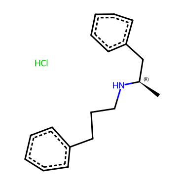 C[C@H](Cc1ccccc1)NCCCc1ccccc1.Cl